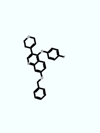 Fc1ccc(Oc2c(C3=CCOCC3)cnc3cc(OCc4ccccc4)ccc23)cc1